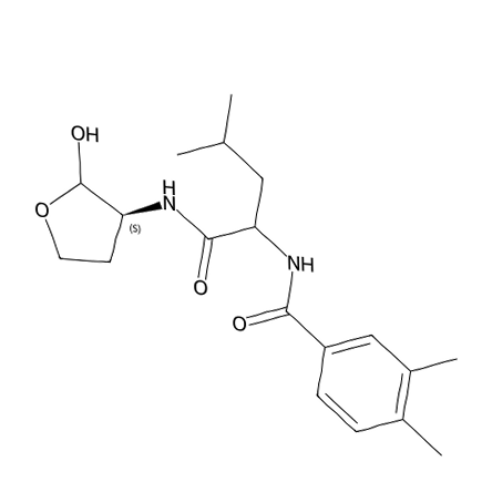 Cc1ccc(C(=O)NC(CC(C)C)C(=O)N[C@H]2CCOC2O)cc1C